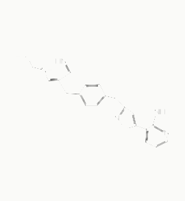 CCN/C=C(\C=N)Cc1ccc(Cc2cc(-c3cccnc3N)on2)cc1